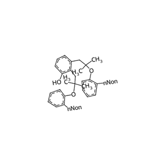 CCCCCCCCCc1ccccc1OC(C)(C)Cc1cccc(O)c1CC(C)(C)Oc1ccccc1CCCCCCCCC